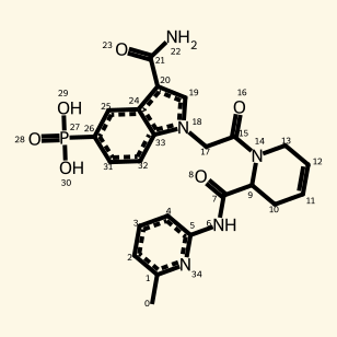 Cc1cccc(NC(=O)C2CC=CCN2C(=O)Cn2cc(C(N)=O)c3cc(P(=O)(O)O)ccc32)n1